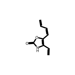 C=C/C=C\c1oc(=O)[nH]c1C=C